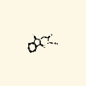 CC(C)(C)OC(=O)CN1C(=O)c2ccccc2C1=O